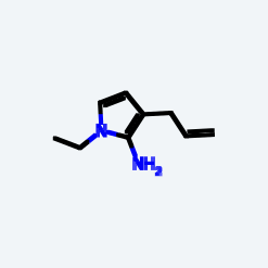 C=CCc1ccn(CC)c1N